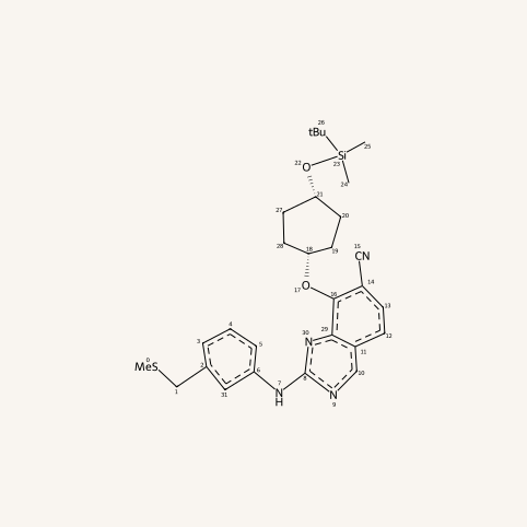 CSCc1cccc(Nc2ncc3ccc(C#N)c(O[C@H]4CC[C@@H](O[Si](C)(C)C(C)(C)C)CC4)c3n2)c1